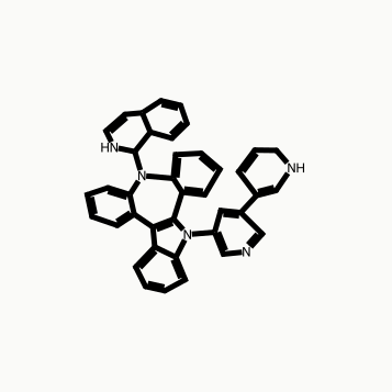 C1=CC2C=CNC(N3c4ccccc4-c4c(n(-c5cncc(C6=CNCC=C6)c5)c5ccccc45)-c4ccccc43)C2C=C1